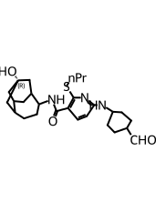 CCCSc1nc(NC2CCC(C=O)CC2)ccc1C(=O)NC1CCC2C[C@@]3(O)CC2CC1C3